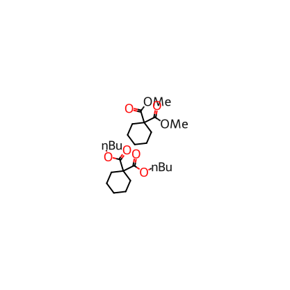 CCCCOC(=O)C1(C(=O)OCCCC)CCCCC1.COC(=O)C1(C(=O)OC)CCCCC1